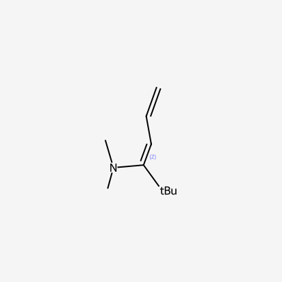 C=C/C=C(\N(C)C)C(C)(C)C